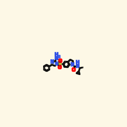 CC(NC(=O)N1CCc2cc(S(=O)(=O)N3CC(c4ccccc4)N=C3N)ccc21)C1CC1